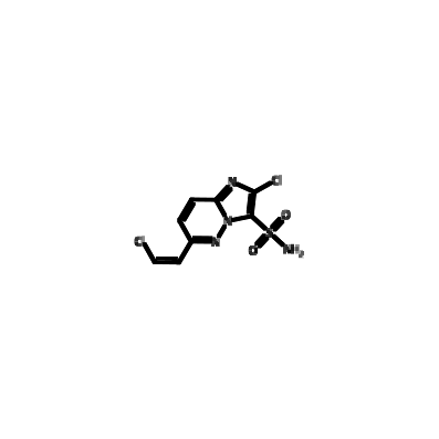 NS(=O)(=O)c1c(Cl)nc2ccc(/C=C\Cl)nn12